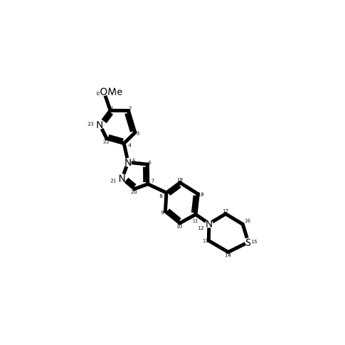 COc1ccc(-n2cc(-c3ccc(N4CCSCC4)cc3)cn2)cn1